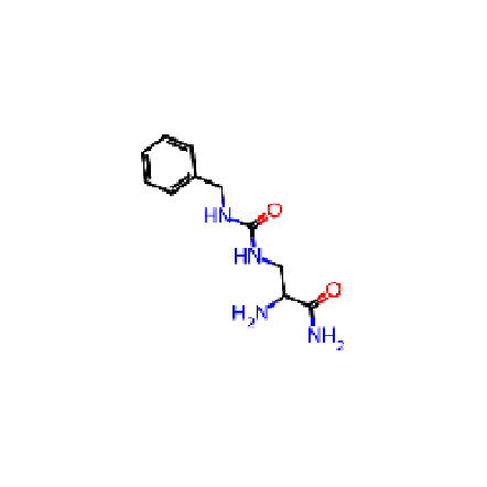 NC(=O)C(N)CNC(=O)NCc1ccccc1